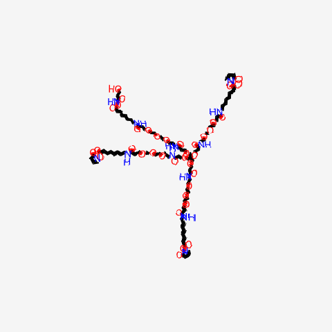 O=C(CCOCCOCCOCCNC(=O)CCOCC(COCCC(=O)NCCOCCOCCOCCC(=O)NCCCCCCCC(=O)ON1CCCC1=O)(COCCC(=O)NCCOCCOCCOCCC(=O)NCCCCCCCC(=O)ON1CCCC1=O)OCCC(=O)NCCOCCOCCOCCC(=O)NCCCCCCCC(=O)ON1CCCC1=O)NCCCCCCCC(=O)ONC(=O)CCO